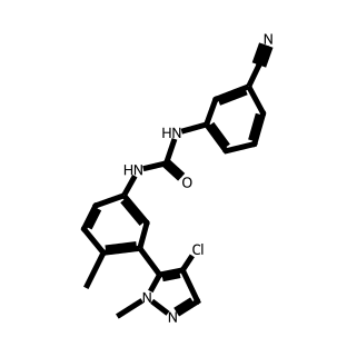 Cc1ccc(NC(=O)Nc2cccc(C#N)c2)cc1-c1c(Cl)cnn1C